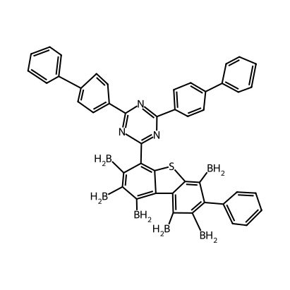 Bc1c(B)c(B)c2c(sc3c(B)c(-c4ccccc4)c(B)c(B)c32)c1-c1nc(-c2ccc(-c3ccccc3)cc2)nc(-c2ccc(-c3ccccc3)cc2)n1